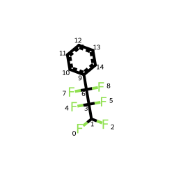 FC(F)C(F)(F)C(F)(F)c1cc[c]cc1